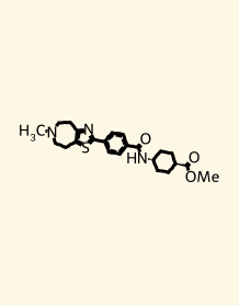 COC(=O)[C@H]1CC[C@H](NC(=O)c2ccc(-c3nc4c(s3)CCN(C)CC4)cc2)CC1